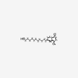 COc1ccc(Cl)c2ccc(CCCCCCCCCCCO)nc12